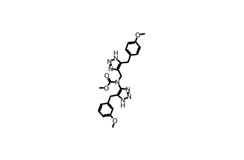 COC(=O)N(Cc1nn[nH]c1Cc1ccc(OC)cc1)c1nn[nH]c1Cc1cccc(OC)c1